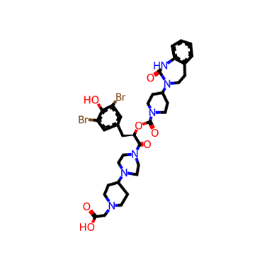 O=C(O)CN1CCC(N2CCN(C(=O)[C@@H](Cc3cc(Br)c(O)c(Br)c3)OC(=O)N3CCC(N4CCc5ccccc5NC4=O)CC3)CC2)CC1